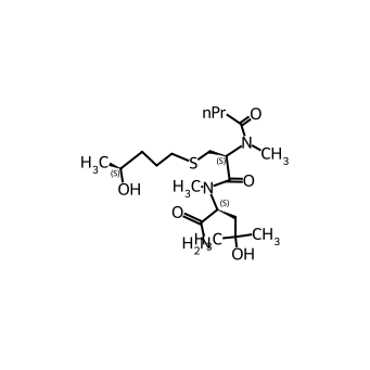 CCCC(=O)N(C)[C@H](CSCCC[C@H](C)O)C(=O)N(C)[C@@H](CC(C)(C)O)C(N)=O